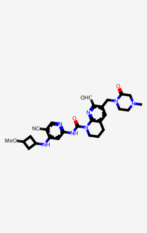 COC1CC(Nc2cc(NC(=O)N3CCCc4cc(CN5CCN(C)CC5=O)c(C=O)nc43)ncc2C#N)C1